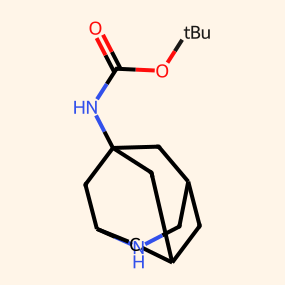 CC(C)(C)OC(=O)NC12CC3CNC(CC(C3)C1)C2